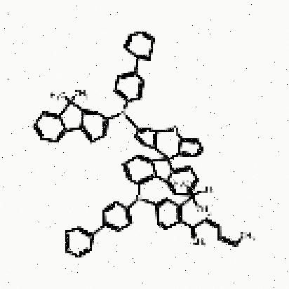 C=C(/C=C\C=C/C)c1ccc(N(c2ccc(-c3ccccc3)cc2)c2cccc3c2-c2ccccc2C32c3ccccc3Oc3cc(N(c4ccc(-c5ccccc5)cc4)c4ccc5c(c4)C(C)(C)c4ccccc4-5)ccc32)cc1C(C)(C)C